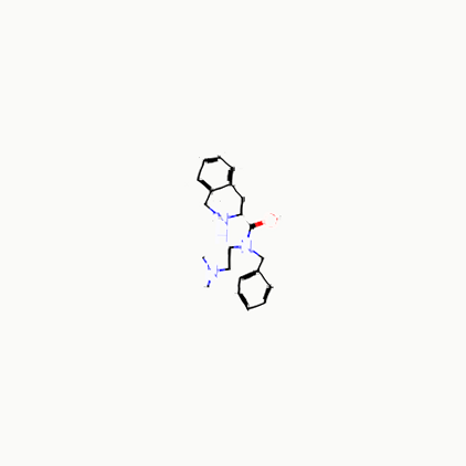 CN(C)CCN(Cc1ccccc1)C(=O)[C@@H]1Cc2ccccc2CN1